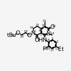 CCc1ccc(Nc2c3c(c(C)c(=O)n2C)CCN(OCCOC(C)(C)C)C3=O)c(F)c1